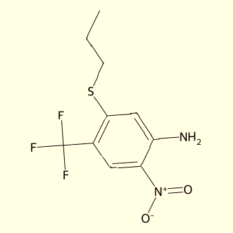 CCCSc1cc(N)c([N+](=O)[O-])cc1C(F)(F)F